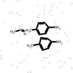 Cc1ccc(N)cc1.Cc1ccc(N)cc1.P=NP